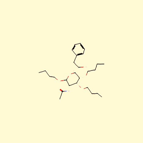 CCCCOC1O[C@H](C(O)Cc2ccccc2)[C@H](OCCCC)[C@@H](OCCCC)[C@@H]1NC(C)=O